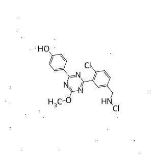 COc1nc(-c2ccc(O)cc2)nc(-c2cc(CNCl)ccc2Cl)n1